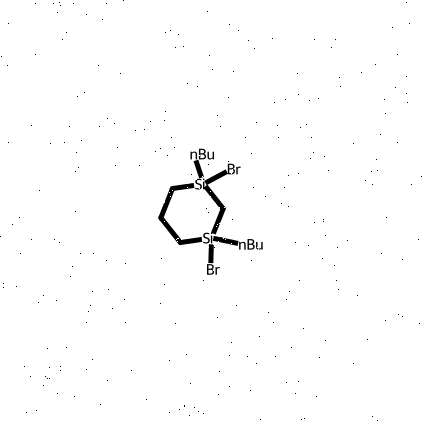 CCCC[Si]1(Br)CCC[Si](Br)(CCCC)C1